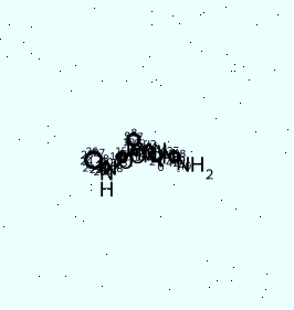 Cc1cn2nc([C@@H]3CCCCN3C(=O)c3ccc(CN4CC5(CCCCCCC5)CN4)o3)cc2nc1N1CC[C@H](N)C1